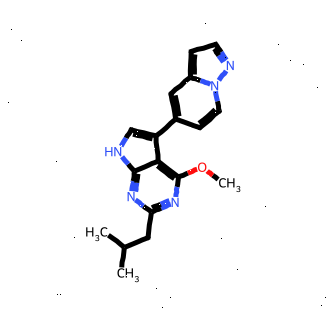 COc1nc(CC(C)C)nc2[nH]cc(-c3ccn4nccc4c3)c12